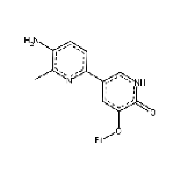 CCOc1cc(-c2ccc(N)c(C)n2)c[nH]c1=O